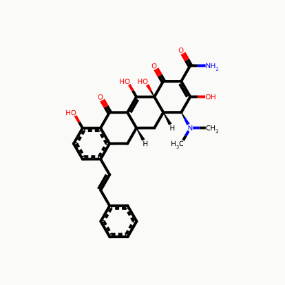 CN(C)[C@@H]1C(O)=C(C(N)=O)C(=O)[C@@]2(O)C(O)=C3C(=O)c4c(O)ccc(/C=C/c5ccccc5)c4C[C@H]3C[C@@H]12